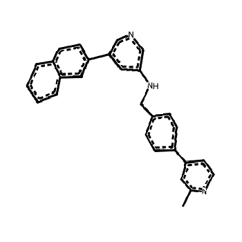 Cc1cc(-c2ccc(CNc3cncc(-c4ccc5ccccc5c4)c3)cc2)ccn1